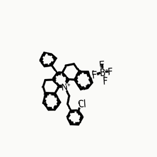 Clc1ccccc1CC[n+]1c2c(c(-c3ccccc3)c3c1-c1ccccc1CC3)CCc1ccccc1-2.F[B-](F)(F)F